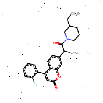 CCOC(=O)CC1CCCN(C(=O)C(C=O)c2ccc3c(-c4ccccc4Cl)cc(=O)oc3c2)C1